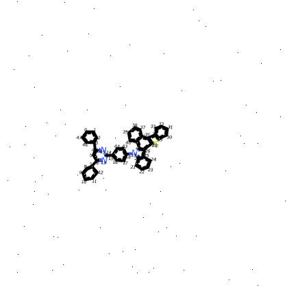 c1ccc(-c2cc(-c3ccccc3)nc(-c3ccc(-n4c5ccccc5c5c6sc7ccccc7c6c6ccccc6c54)cc3)n2)cc1